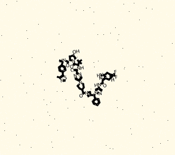 Cc1ncsc1-c1ccc(C(C)NC(=O)[C@@H]2C[C@@H](O)CN2C(=O)C(NC(=O)c2ncc(N3CCC(C(=O)N4CC(C(c5ccccc5)n5cc(NC(=O)c6n[nH]c7c6C[C@@H]6C(F)(F)[C@]6(C)C7)cn5)C4)CC3)cn2)C(C)(C)C)cc1